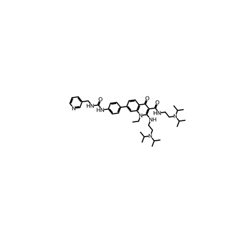 CCn1c(NCCN(C(C)C)C(C)C)c(C(=O)NCCN(C(C)C)C(C)C)c(=O)c2ccc(-c3ccc(NC(=O)NCc4cccnc4)cc3)cc21